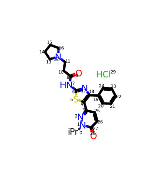 CC(C)n1nc(-c2sc(NC(=O)CCN3CCCC3)nc2-c2ccccc2)ccc1=O.Cl